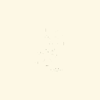 COc1cc(C(C)C)c2c(c1)S(=O)(=O)N(COC(=O)c1c(C)cccc1C)C2=O